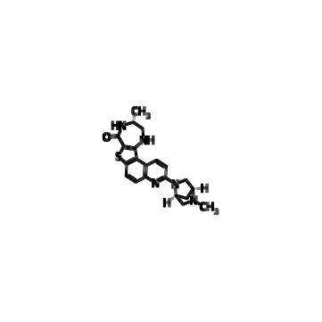 C[C@@H]1CNc2c(sc3ccc4nc(N5C[C@@H]6C[C@H]5CN6C)ccc4c23)C(=O)N1